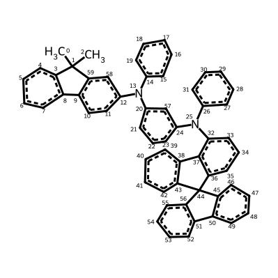 CC1(C)c2ccccc2-c2ccc(N(c3ccccc3)c3cccc(N(c4ccccc4)c4cccc5c4-c4ccccc4C54c5ccccc5-c5ccccc54)c3)cc21